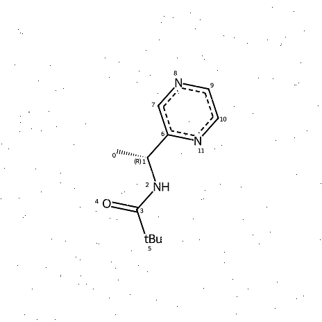 C[C@@H](NC(=O)C(C)(C)C)c1cnccn1